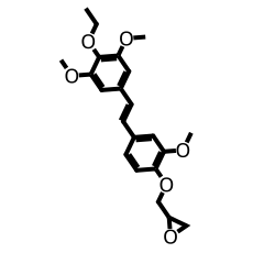 CCOc1c(OC)cc(/C=C/c2ccc(OCC3CO3)c(OC)c2)cc1OC